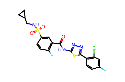 O=C(Nc1nnc(-c2ccc(F)cc2Cl)s1)c1cc(S(=O)(=O)NCC2CC2)ccc1F